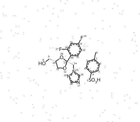 Cc1ccc(S(=O)(=O)O)cc1.OC[C@H]1CO[C@](Cn2cncn2)(c2ccc(F)cc2F)O1